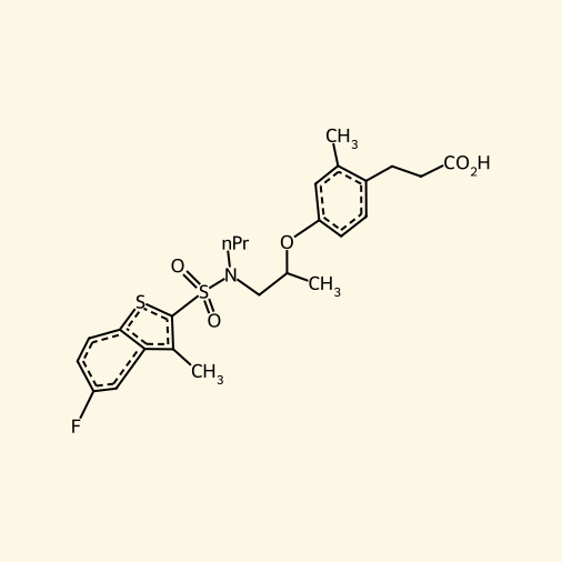 CCCN(CC(C)Oc1ccc(CCC(=O)O)c(C)c1)S(=O)(=O)c1sc2ccc(F)cc2c1C